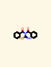 N=C(S)N(C(=O)c1ccccc1)C(=O)c1ccccc1